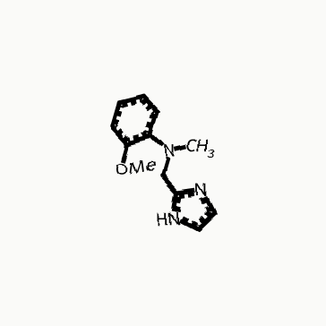 COc1ccccc1N(C)Cc1ncc[nH]1